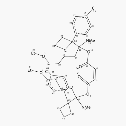 CCOCCCCC(NC)(OC(=O)/C=C\C(=O)OC(CCCCOCC)(NC)C1(c2ccc(Cl)cc2)CCC1)C1(c2ccc(Cl)cc2)CCC1